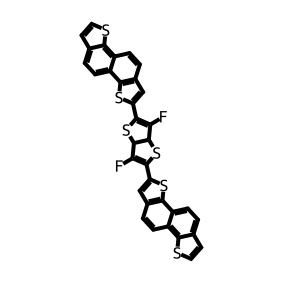 FC1=C(c2cc3ccc4c(ccc5ccsc54)c3s2)SC2C(F)=C(c3cc4ccc5c(ccc6ccsc65)c4s3)SC12